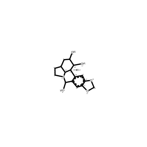 OC1CC2CCN3C(O)c4cc5c(cc4[C@H](C1O)C23)OCO5